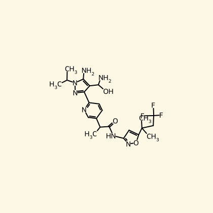 CC(C(=O)Nc1cc(C(C)(C)CC(F)(F)F)on1)c1ccc(-c2nn(C(C)C)c(N)c2C(N)O)nc1